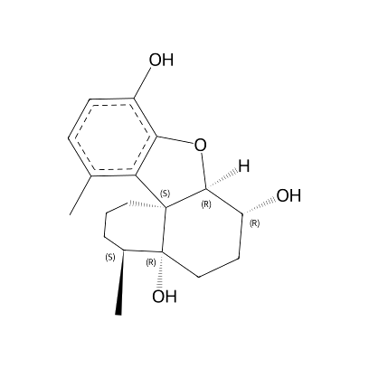 Cc1ccc(O)c2c1[C@]13CCC[C@H](C)[C@]1(O)CC[C@@H](O)[C@@H]3O2